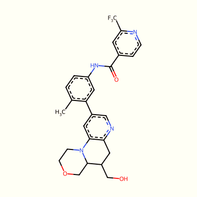 Cc1ccc(NC(=O)c2ccnc(C(F)(F)F)c2)cc1-c1cnc2c(c1)N1CCOCC1C(CO)C2